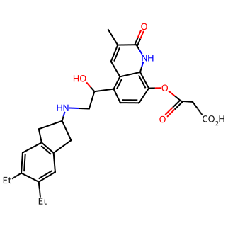 CCc1cc2c(cc1CC)CC(NCC(O)c1ccc(OC(=O)CC(=O)O)c3[nH]c(=O)c(C)cc13)C2